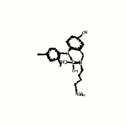 CNCCCCN1Cc2cc(C#N)ccc2N(c2ccc(C)cc2F)S1(O)O